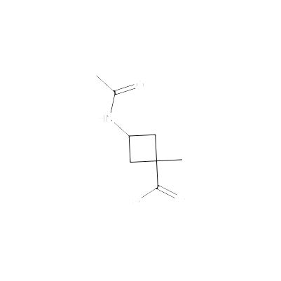 CC(=O)NC1CC(C)(C(=O)O)C1